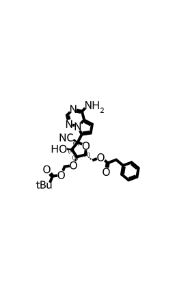 CC(C)(C)C(=O)OCO[C@H]1[C@@H](O)[C@](C#N)(c2ccc3c(N)ncnn23)O[C@@H]1COC(=O)Cc1ccccc1